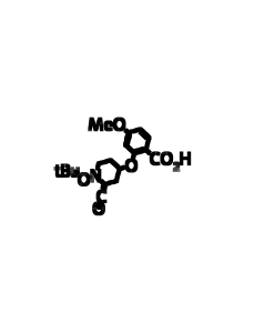 COc1ccc(C(=O)O)c(OC2CCN(OC(C)(C)C)C(=C=O)C2)c1